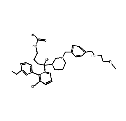 CCc1cccc(-c2c(Cl)cccc2[C@](O)(CCCNC(=O)O)[C@@H]2CCCN(Cc3ccc(CNCCOC)cc3)C2)c1